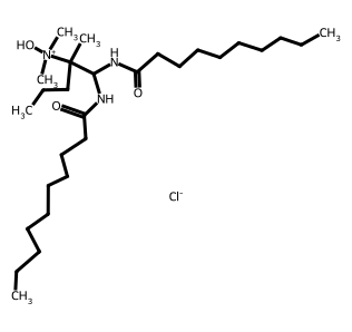 CCCCCCCCCC(=O)NC(NC(=O)CCCCCCCCC)C(C)(CCC)[N+](C)(C)O.[Cl-]